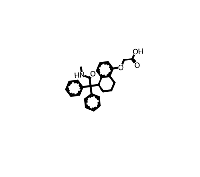 CNC(=O)C(c1ccccc1)(c1ccccc1)C1CCCc2c(OCC(=O)O)cccc21